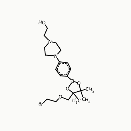 CC1(C)OB(c2ccc(N3CCN(CCO)CC3)cc2)OC1(C)COCCBr